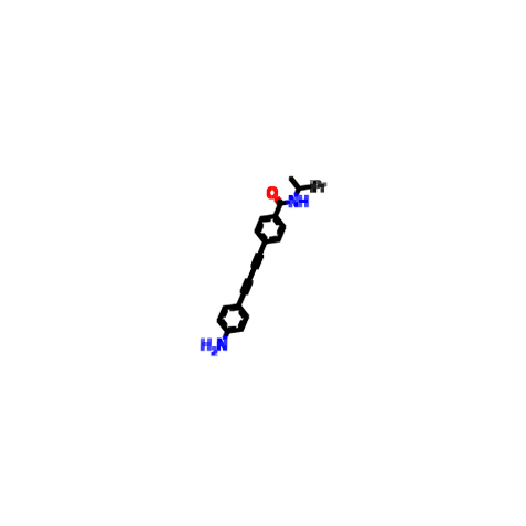 CC(C)C(C)NC(=O)c1ccc(C#CC#Cc2ccc(N)cc2)cc1